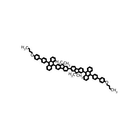 CCCCOc1ccc(-c2ccc(-c3c4ccccc4c(-c4ccc5c(c4)C(C)(C)c4cc(-c6ccc7c(c6)C(C)(C)c6cc(-c8c9ccccc9c(-c9ccc(-c%10ccc(OCCCC)cc%10)cc9)c9ccccc89)ccc6-7)ccc4-5)c4ccccc34)cc2)cc1